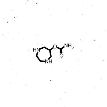 NC(=O)OC1CNCCNC1